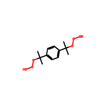 CC(C)(OOO)c1ccc(C(C)(C)OOO)cc1